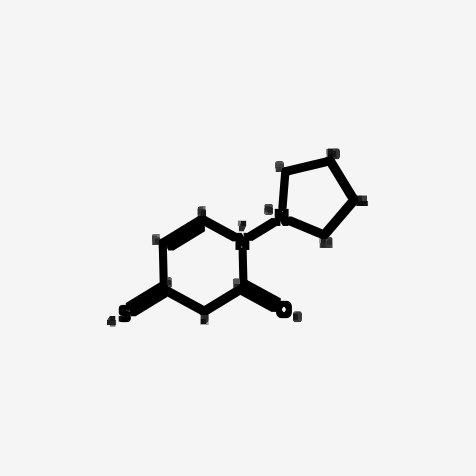 O=C1CC(=S)C=CN1N1CCCC1